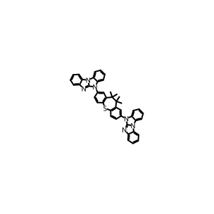 CC1(C)c2cc(-n3c4ccccc4n4c5ccccc5nc34)ccc2Sc2ccc(-n3c4ccccc4n4c5ccccc5nc34)cc2C1(C)C